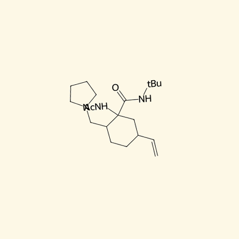 C=CC1CCC(CN2CCCC2)C(NC(C)=O)(C(=O)NC(C)(C)C)C1